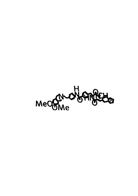 COc1cc2c(cc1OC)CN(CCc1ccc(NC(=O)c3ccc(C=c4[nH]c(=O)c(=Cc5ccc6ccccc6c5)n(C)c4=O)cc3)cc1)CC2